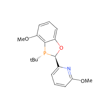 COc1cccc([C@@H]2Oc3cccc(OC)c3[P@@]2C(C)(C)C)n1